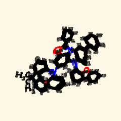 CC1(C)c2ccccc2-c2c(N(c3ccccc3)c3cc(N(c4ccc(-c5ccccc5)cc4)c4cccc5c4oc4ccccc45)c4nc(-c5ccccc5)oc4c3)cccc21